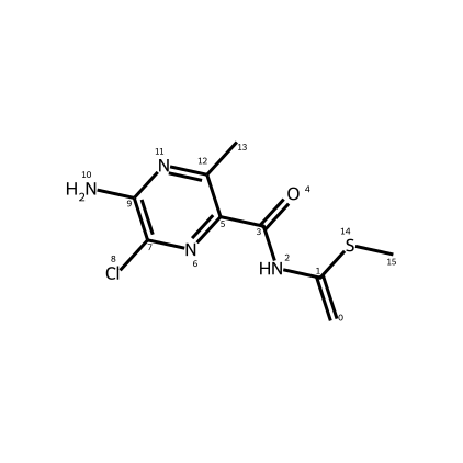 C=C(NC(=O)c1nc(Cl)c(N)nc1C)SC